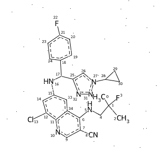 CC(C)(F)CNc1c(C#N)cnc2c(Cl)cc(NC(c3ccc(F)cc3)c3cn(C4CC4)nn3)cc12